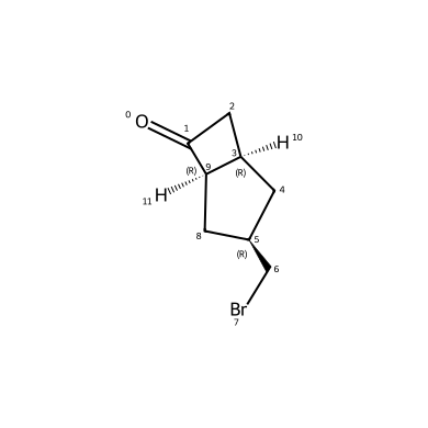 O=C1C[C@H]2C[C@@H](CBr)C[C@@H]12